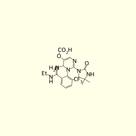 CCNC(=O)c1cccc(C(F)(F)F)c1N1C(N2CC(C)(C)NC2=O)=NC=C(OC(=O)O)C1N